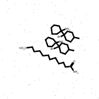 CC1CCC(C(C)C)(C2(N)CCCCC2)CC1.CC1CCC(C(C)C)(C2(N)CCCCC2)CC1.NC(=O)CCCCCCCCCCC(=O)O